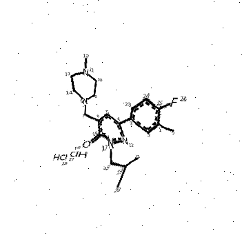 Cc1cc(-c2cc(CN3CCN(C)CC3)c(=O)n(CC(C)C)n2)ccc1F.Cl.Cl